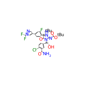 CC(C)(C)C[C@]1(c2ccc(-c3cnn(C(F)F)c3)cc2F)N/C(=N\C(=O)OC(C)(C)C)N([C@H](CO)c2ccc(Cl)c(C(N)=O)c2)C1=O